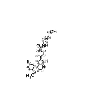 COc1ccc(F)cc1-c1ccnc2[nH]c(C3=CCN(C(=O)NCCNCCO)CC3)cc12